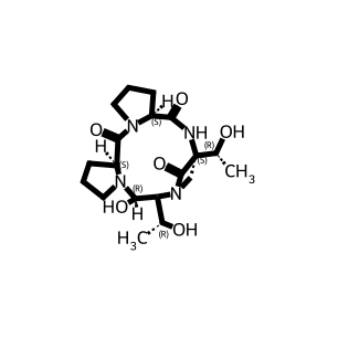 C[C@@H](O)C1[C@@H](O)N2CCC[C@H]2C(=O)N2CCC[C@H]2C(=O)N[C@]2([C@@H](C)O)CN1C2=O